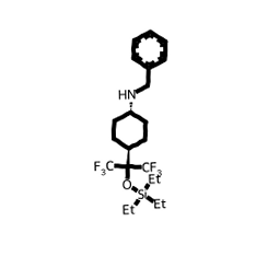 CC[Si](CC)(CC)OC([C@H]1CC[C@H](NCc2ccccc2)CC1)(C(F)(F)F)C(F)(F)F